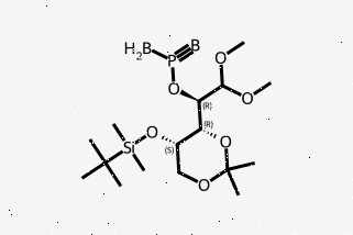 B#P(B)O[C@@H](C(OC)OC)[C@@H]1OC(C)(C)OC[C@@H]1O[Si](C)(C)C(C)(C)C